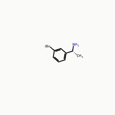 C[C@@H](N)c1cccc(C(C)(C)C)c1